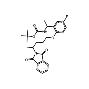 CC(NC(=O)OC(C)(C)C)c1cc(F)ccc1OCCCC(C)N1C(=O)c2ccccc2C1=O